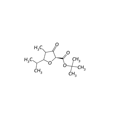 CC(C)C1O[C@H](C(=O)OC(C)(C)C)C(=O)C1C